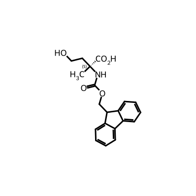 C[C@@](CCO)(NC(=O)OCC1c2ccccc2-c2ccccc21)C(=O)O